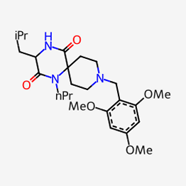 CCCN1C(=O)C(CC(C)C)NC(=O)C12CCN(Cc1c(OC)cc(OC)cc1OC)CC2